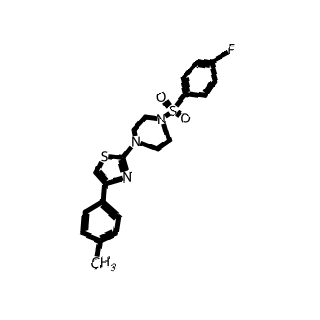 Cc1ccc(-c2csc(N3CCN(S(=O)(=O)c4ccc(F)cc4)CC3)n2)cc1